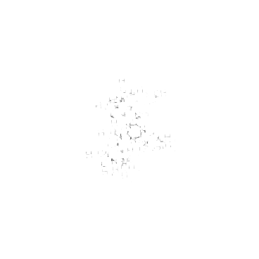 CCCCN(c1nc(N(C)C2CC(C)(C)NC(C)(C)C2)nc(C(C)(CC)CC)n1)C1CC(C)(C)NC(C)(C)C1